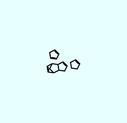 C1=CC2C3C=CC(C3)C2C1.C1=CCC=C1.C1=CCCC1